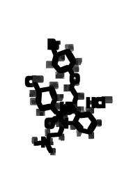 CN(C)CCN(c1ccccc1NCCOc1ccc(Br)cc1)S(=O)(=O)c1ccc(Cl)cc1.Cl